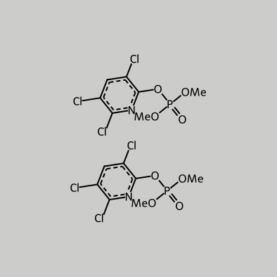 COP(=O)(OC)Oc1nc(Cl)c(Cl)cc1Cl.COP(=O)(OC)Oc1nc(Cl)c(Cl)cc1Cl